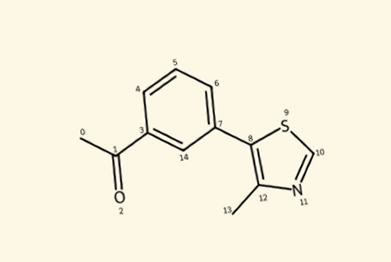 CC(=O)c1cccc(-c2scnc2C)c1